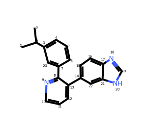 CC(C)c1cccc(-c2ncccc2-c2ccc3nc[nH]c3c2)c1